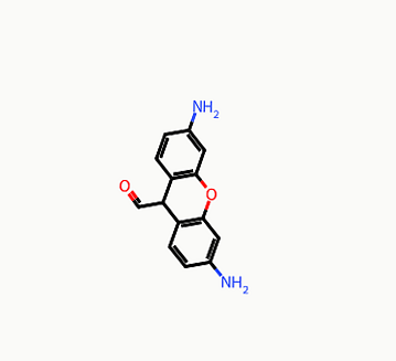 Nc1ccc2c(c1)Oc1cc(N)ccc1C2C=O